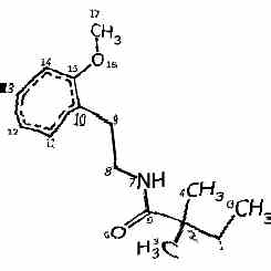 CCC(C)(C)C(=O)NCCc1ccccc1OC